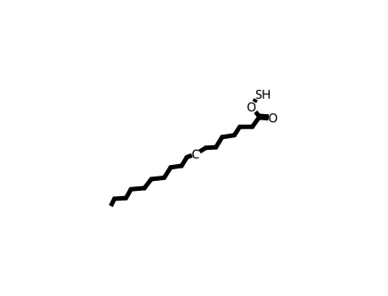 CCCCCCCCCCCCCCCCCC(=O)OS